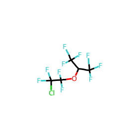 FC(F)(F)C(OC(F)(F)C(F)(F)Cl)C(F)(F)F